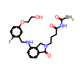 BC(=O)NC(=O)CCCN1Cc2c(NCc3cc(OCCO)ccc3F)cccc2C1=O